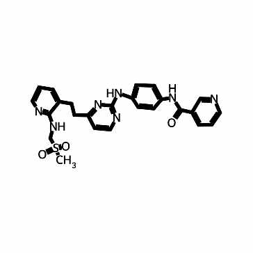 CS(=O)(=O)CNc1ncccc1CCc1ccnc(Nc2ccc(NC(=O)c3cccnc3)cc2)n1